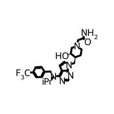 CC(C)N(Cc1ccc(C(F)(F)F)cc1)c1ncnc2c1ccn2C[C@@H]1CCN(CC(N)=O)C[C@H]1O